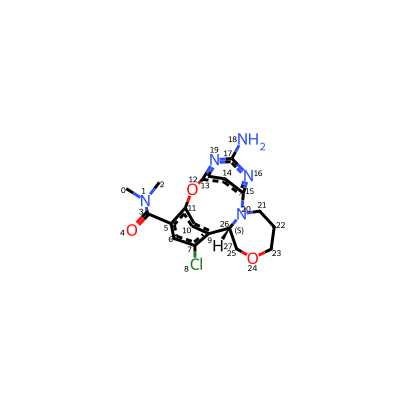 CN(C)C(=O)c1cc(Cl)c2cc1Oc1cc(nc(N)n1)N1CCCOC[C@H]21